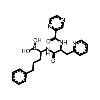 O=C(NC(Cc1ccccn1)C(=O)NC(CCCc1ccccc1)B(O)O)c1cnccn1